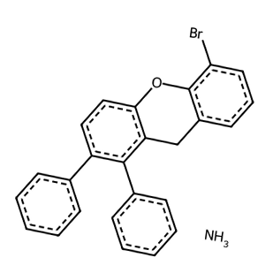 Brc1cccc2c1Oc1ccc(-c3ccccc3)c(-c3ccccc3)c1C2.N